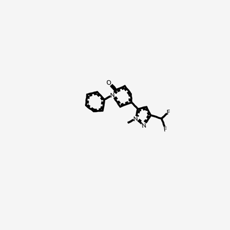 Cn1nc(C(F)F)cc1-c1ccc(=O)n(-c2ccccc2)c1